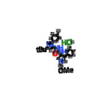 COCCN1C[C@H](NC(=O)Nc2cc(C(C)(C)C)nn2-c2ccc(C)cc2)[C@@H](c2ccccc2)C1.Cl